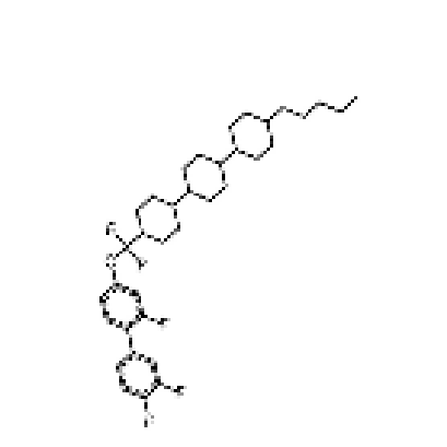 CCCCCC1CCC(C2CCC(C3CCC(C(F)(F)Oc4ccc(-c5ccc(F)c(F)c5)c(F)c4)CC3)CC2)CC1